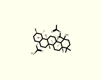 CC(=O)OC(=O)C1(O)CCC(C)(C)[C@@H]2CC[C@]3(C)[C@H](CC[C@@H]4[C@@H]5[C@@H](C)[C@H](C)CC[C@]5(CC(N)=O)CC[C@]43C)[C@]21C